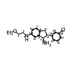 CCOCCNc1ccc2c(c1)C(N)C(c1cccc(Cl)c1)C2